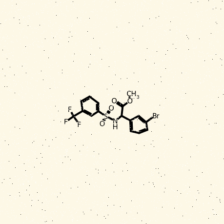 COC(=O)C(NS(=O)(=O)c1cccc(C(F)(F)F)c1)c1cccc(Br)c1